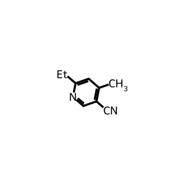 CCc1cc(C)c(C#N)cn1